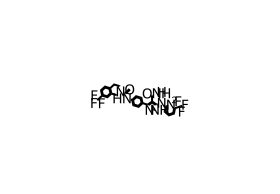 NC(=O)c1c(-c2ccc(NC(=O)N3CCc4ccc(C(F)(F)F)cc4C3)cc2)n[nH]c1Nc1cccc(C(F)(F)F)n1